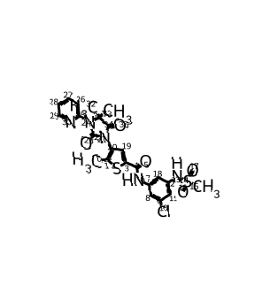 Cc1sc(C(=O)Nc2cc(Cl)cc(NS(C)(=O)=O)c2)cc1N1C(=O)N(c2ccccn2)C(C)(C)C1=O